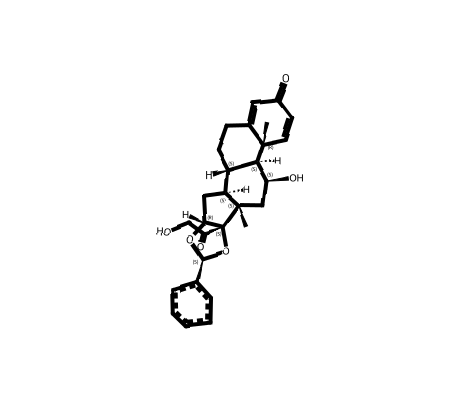 C[C@]12C=CC(=O)C=C1CC[C@@H]1[C@@H]2[C@@H](O)C[C@@]2(C)[C@H]1C[C@H]1O[C@H](c3ccccc3)O[C@]12C(=O)CO